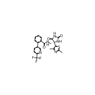 Cc1nc(C)c([C@]2(CNC(=O)c3ccccc3-c3ccc(C(F)(F)F)nc3)NC(=O)NC2=O)s1